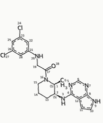 C[C@H]1[C@@H](Nc2ncnc3[nH]ccc23)CCCN1C(=O)CNc1cc(Cl)cc(Cl)c1